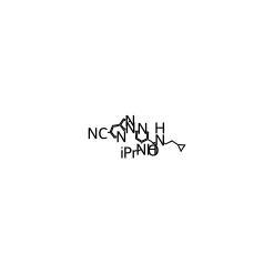 CC(C)Nc1cc(-n2ncc3cc(C#N)cnc32)ncc1C(=O)NCCC1CC1